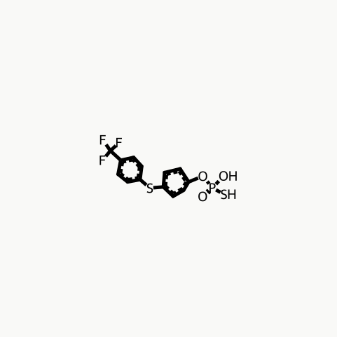 O=P(O)(S)Oc1ccc(Sc2ccc(C(F)(F)F)cc2)cc1